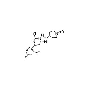 CC(C)N1CCC(c2nc3cc(-c4ccc(F)cc4F)nc(Cl)n3n2)CC1